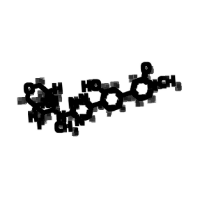 CN(c1ncc(-c2ccc(-c3ccn(C)c(=O)c3)cc2O)nn1)[C@@H]1C[C@H]2COC[C@H](N2)[C@@H]1F